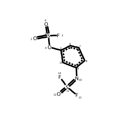 O=S(=O)(F)Oc1cccc(N=S(=O)(F)F)c1